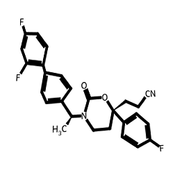 C[C@@H](c1ccc(-c2ccc(F)cc2F)cc1)N1CC[C@@](CCC#N)(c2ccc(F)cc2)OC1=O